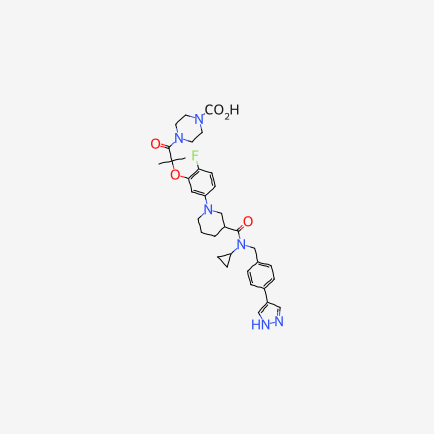 CC(C)(Oc1cc(N2CCCC(C(=O)N(Cc3ccc(-c4cn[nH]c4)cc3)C3CC3)C2)ccc1F)C(=O)N1CCN(C(=O)O)CC1